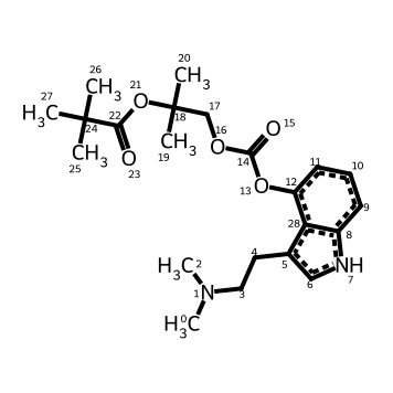 CN(C)CCc1c[nH]c2cccc(OC(=O)OCC(C)(C)OC(=O)C(C)(C)C)c12